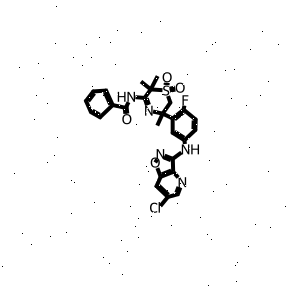 CC1(c2cc(Nc3noc4cc(Cl)cnc34)ccc2F)CS(=O)(=O)C(C)(C)C(NC(=O)c2ccccc2)=N1